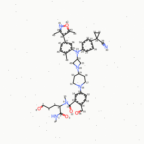 CNC(=O)C(CCC=O)N(C)C(=O)c1cc(N2CCC(N3CC(N(c4ccc(C5(C#N)CC5)cc4)c4cc(-c5c(C)noc5C)ccc4C)C3)CC2)ccc1C=O